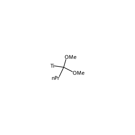 CCC[C]([Ti])(OC)OC